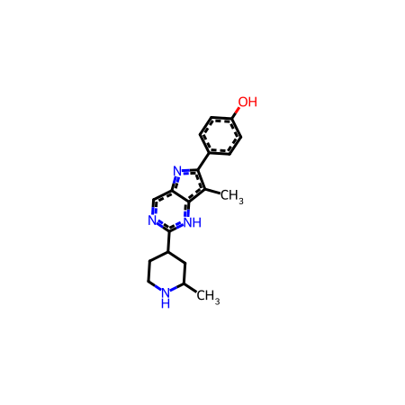 Cc1c(-c2ccc(O)cc2)nc2cnc(C3CCNC(C)C3)[nH]c1-2